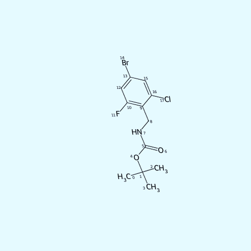 CC(C)(C)OC(=O)NCc1c(F)cc(Br)cc1Cl